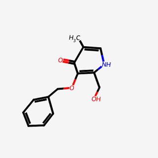 Cc1c[nH]c(CO)c(OCc2ccccc2)c1=O